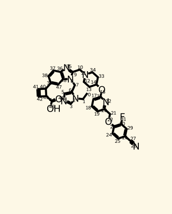 CCn1cncc1Cn1c(CN2CCC(Oc3cccc(COc4ccc(C#N)cc4F)n3)CC2)nc2ccc(C3C#CC3C(=O)O)cc21